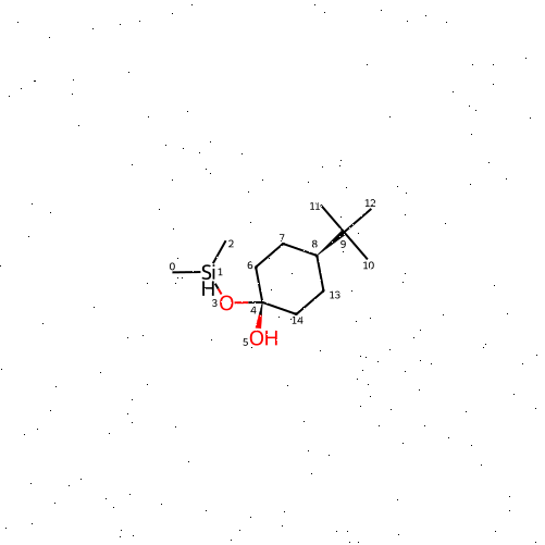 C[SiH](C)O[C@]1(O)CC[C@@H](C(C)(C)C)CC1